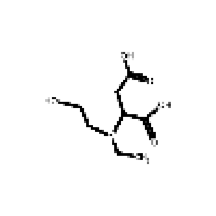 CCN(CCO)C(CC(=O)O)C(=O)O